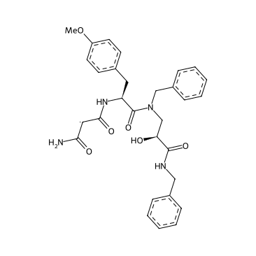 COc1ccc(C[C@H](NC(=O)[CH]C(N)=O)C(=O)N(Cc2ccccc2)C[C@H](O)C(=O)NCc2ccccc2)cc1